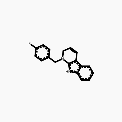 Fc1ccc(CN2CC=Cc3c2[nH]c2ccccc32)cc1